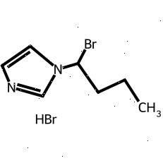 Br.CCCC(Br)n1ccnc1